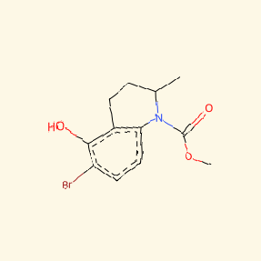 COC(=O)N1c2ccc(Br)c(O)c2CCC1C